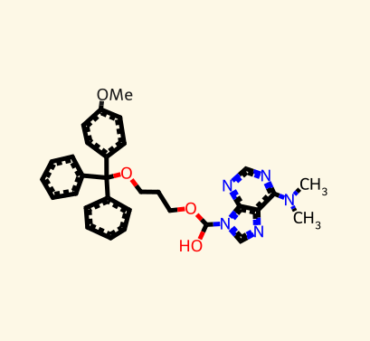 COc1ccc(C(OCCCOC(O)n2cnc3c(N(C)C)ncnc32)(c2ccccc2)c2ccccc2)cc1